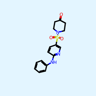 O=C1CCN(S(=O)(=O)c2ccc(Nc3ccccc3)nc2)CC1